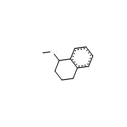 O=S(=O)(O)NC1CCCc2ccccc21